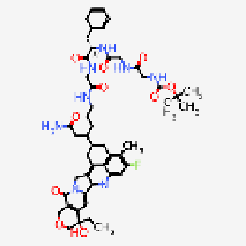 CC[C@@]1(O)COCc2c1cc1n(c2=O)Cc2c-1nc1cc(F)c(C)c3c1c2CC(C(CCCNC(=O)CNC(=O)[C@H](CC1C=CC=CC1)NC(=O)CNC(=O)CNC(=O)OC(C)(C)C)CC(N)=O)C3